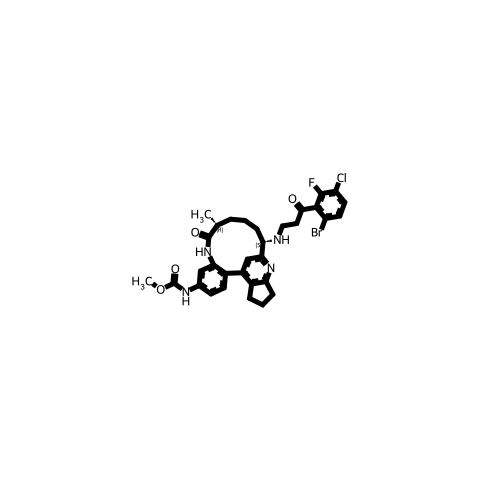 COC(=O)Nc1ccc2c(c1)NC(=O)[C@H](C)CCC[C@H](NCCC(=O)c1c(Br)ccc(Cl)c1F)c1cc-2c2c(n1)CCC2